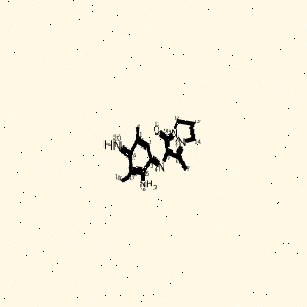 CC1=CC(=Nc2c(C)n3n(c2=O)CCC3)C(N)=C(C)C1=N